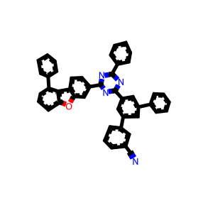 N#Cc1cccc(-c2cc(-c3ccccc3)cc(-c3nc(-c4ccccc4)nc(-c4ccc5c(c4)oc4cccc(-c6ccccc6)c45)n3)c2)c1